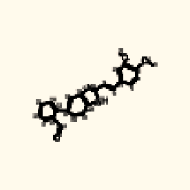 COc1ccc(C=Cc2nc3cc(-c4ccccc4C=O)ccc3[nH]2)cc1OC